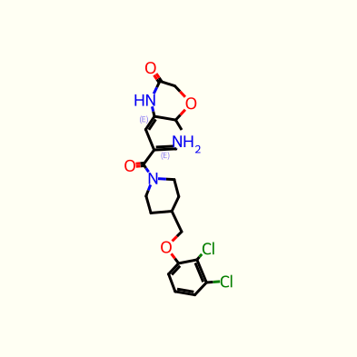 CC1OCC(=O)N/C1=C/C(=C\N)C(=O)N1CCC(COc2cccc(Cl)c2Cl)CC1